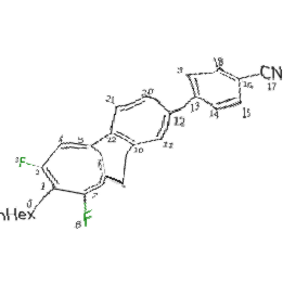 CCCCCCc1c(F)cc2c(c1F)Cc1cc(-c3ccc(C#N)cc3)ccc1-2